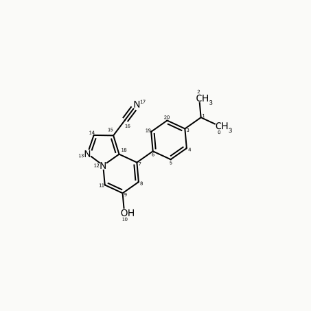 CC(C)c1ccc(-c2cc(O)cn3ncc(C#N)c23)cc1